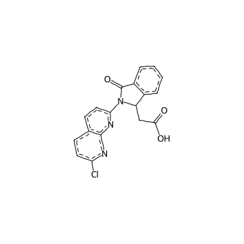 O=C(O)CC1c2ccccc2C(=O)N1c1ccc2ccc(Cl)nc2n1